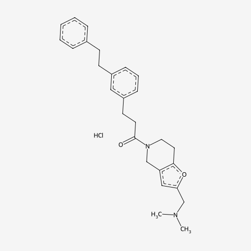 CN(C)Cc1cc2c(o1)CCN(C(=O)CCc1cccc(CCc3ccccc3)c1)C2.Cl